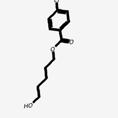 O=C(OCCCCCO)c1ccc(Cl)cc1